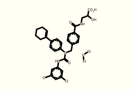 CCOCC.O=C(NCC(O)C(=O)O)c1ccc(CN(C(=O)Nc2cc(Cl)cc(Cl)c2)c2ccc(C3=CCCCC3)cc2)cc1